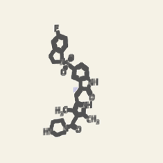 Cc1[nH]c(/C=C2\C(=O)Nc3ccc(S(=O)(=O)N4CCc5cc(F)ccc54)cc32)c(C)c1C(=O)N1CCNCC1